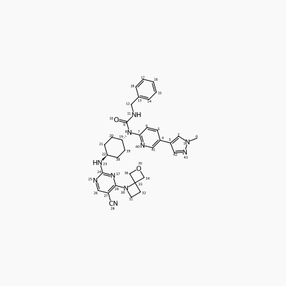 Cn1cc(-c2ccc(N(C(=O)NCc3ccccc3)[C@H]3CC[C@H](Nc4ncc(C#N)c(N5CCC56COC6)n4)CC3)nc2)cn1